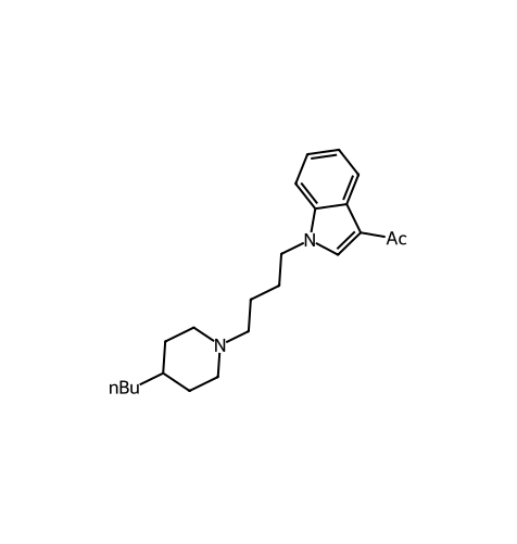 CCCCC1CCN(CCCCn2cc(C(C)=O)c3ccccc32)CC1